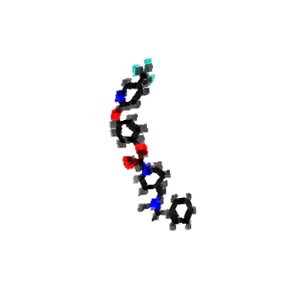 CN(Cc1ccccc1)CC1CCN(C(=O)Oc2ccc(Oc3ccc(C(F)(F)F)cn3)cc2)CC1